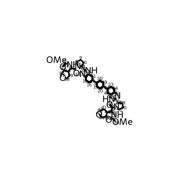 COC(=O)N[C@H](C(=O)N1CCC[C@H]1c1nc2ccc(-c3ccc(-c4ccc5nc([C@@H]6CCCN6C(=O)[C@@H](NC(=O)OC)C6CCOCC6)[nH]c5c4)cc3)cc2[nH]1)C1CCOCC1